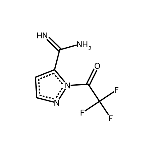 N=C(N)c1ccnn1C(=O)C(F)(F)F